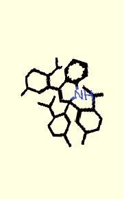 CC1CCC(C(C)C)C(C2=CC(C3CC(C)CCC3C(C)C)(C3CC(C)CCC3C(C)C)Nc3ccccc32)C1